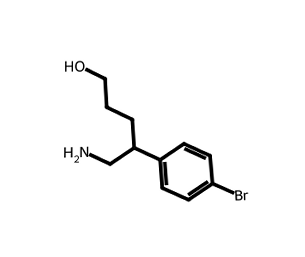 NCC(CCCO)c1ccc(Br)cc1